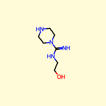 N=C(NCCO)N1CCNCC1